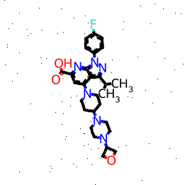 CC(C)c1nn(-c2ccc(F)cc2)c2nc(C(=O)O)cc(N3CCC(N4CCN(C5COC5)CC4)CC3)c12